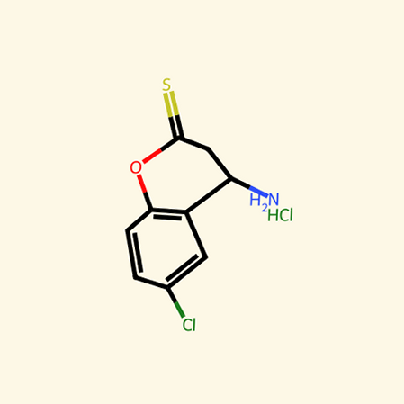 Cl.NC1CC(=S)Oc2ccc(Cl)cc21